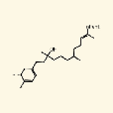 CCCCC/C(C)=C/CCC(C)CCCC(C)(O)CCC1=CC=C(C)[C@H](C)C1